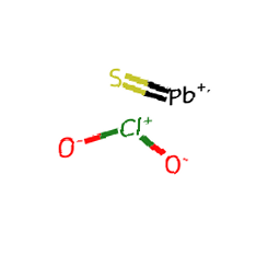 [O-][Cl+][O-].[S]=[Pb+]